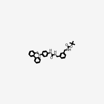 CC(C)(C)OC(=O)NCc1cccc(CNC(=O)Nc2ccc(NSc3ccccc3-c3ccccc3)cc2)c1